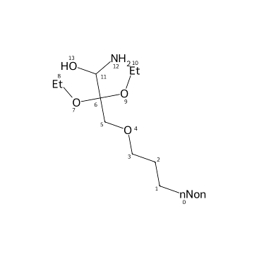 CCCCCCCCCCCCOCC(OCC)(OCC)C(N)O